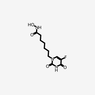 O=C(CCCCCCn1cc(F)c(=O)[nH]c1=O)NO